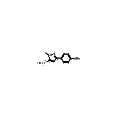 CCOC(=O)c1cc(-c2ccc(C(C)(C)C)cc2)nn1C